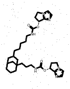 O=C(NCCCCCC1CC2CCCC(CCCNC(=O)O[C@@H]3CCn4ccnc43)(C1)C2)O[C@@H]1CCn2ccnc21